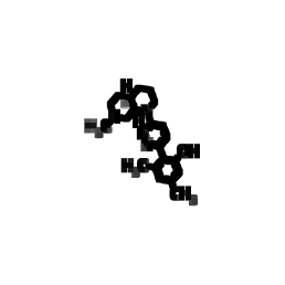 Cc1cc(C)c(-c2ccc(N3CCC[C@@H]4CCN(C)C[C@H]43)nn2)c(O)c1